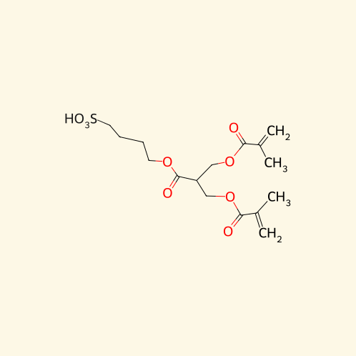 C=C(C)C(=O)OCC(COC(=O)C(=C)C)C(=O)OCCCCS(=O)(=O)O